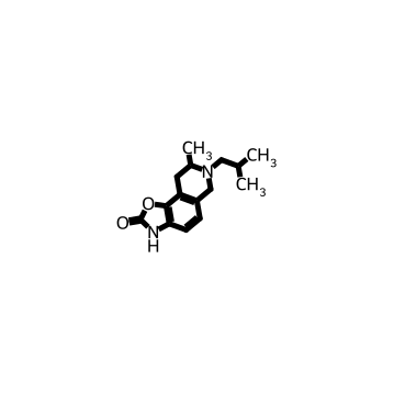 CC(C)CN1Cc2ccc3[nH]c(=O)oc3c2CC1C